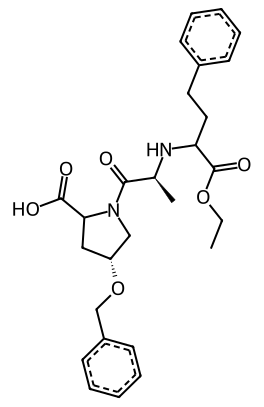 CCOC(=O)C(CCc1ccccc1)N[C@@H](C)C(=O)N1C[C@H](OCc2ccccc2)CC1C(=O)O